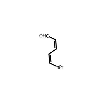 CCC/C=C\C=C/C=O